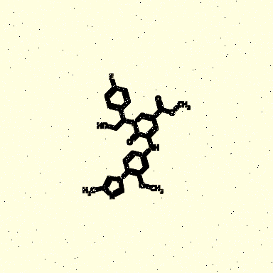 COC(=O)c1cc(Nc2ccc(-n3cnc(C)c3)c(OC)c2)c(=O)n(C(CO)c2ccc(F)cc2)c1